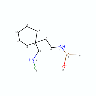 C[S+]([O-])NCCC1(CNCl)CCCCC1